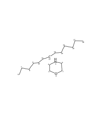 C1COCCN1.CCCCCCCCCCCCC